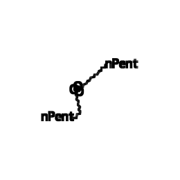 CCCCCC=CCC=CCC=CCC=CCCCC(=O)OC(=O)CCCCCCC/C=C\C/C=C\CCCCC